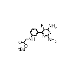 CC(C)(C)OC(=O)CNc1cccc(-c2nc(N)nc(N)c2F)c1